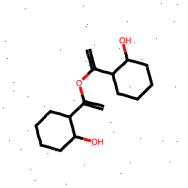 C=C(OC(=C)C1CCCCC1O)C1CCCCC1O